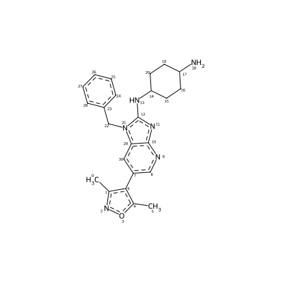 Cc1noc(C)c1-c1cnc2nc(NC3CCC(N)CC3)n(Cc3ccccc3)c2c1